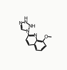 COc1cccc2ccc(N3C=NNN3)nc12